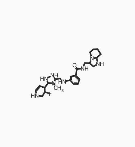 CN1C(CNc2cccc(C(=O)NCC3CNC4CCCCN34)c2)NNC1C1C=CNCC1F